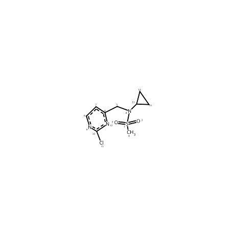 CS(=O)(=O)N(Cc1ccnc(Cl)n1)C1CC1